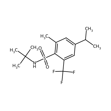 Cc1cc(C(C)C)cc(C(F)(F)F)c1S(=O)(=O)NC(C)(C)C